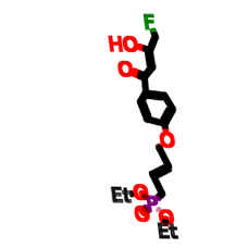 CCOP(=O)(C/C=C/COc1ccc(C(=O)/C=C(\O)CF)cc1)OCC